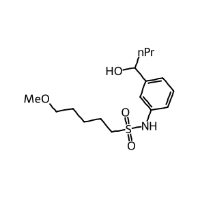 CCCC(O)c1cccc(NS(=O)(=O)CCCCCOC)c1